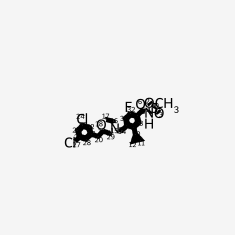 CS(=O)(=O)NC(=O)c1cc(C2CC2)c(CN2CCOC(Cc3cc(Cl)cc(Cl)c3)C2)cc1F